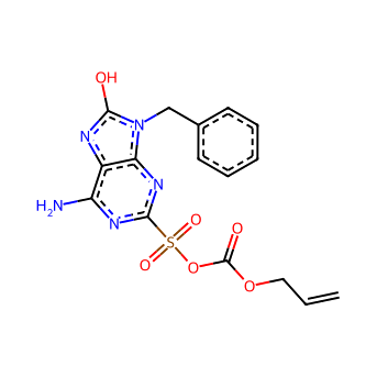 C=CCOC(=O)OS(=O)(=O)c1nc(N)c2nc(O)n(Cc3ccccc3)c2n1